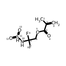 C=C(C)C(=O)OCC(F)(F)N[SH](=O)=O